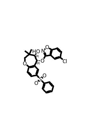 CC1(C)COc2ccc(S(=O)(=O)c3ccccc3)cc2[C@@H](Oc2noc3ccc(Cl)cc23)[C@@H]1O